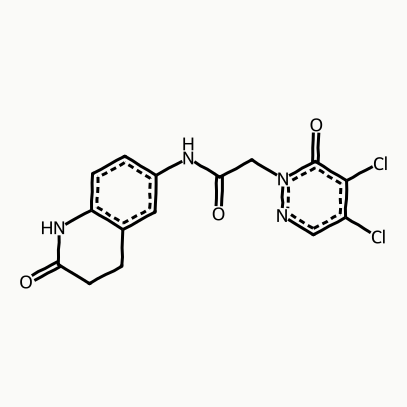 O=C(Cn1ncc(Cl)c(Cl)c1=O)Nc1ccc2c(c1)CCC(=O)N2